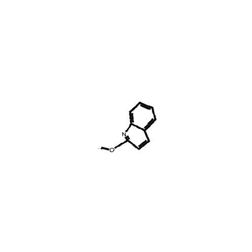 [CH2]Oc1ccc2ccccc2n1